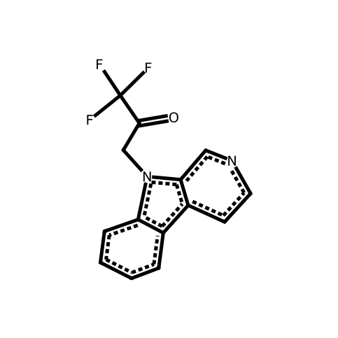 O=C(Cn1c2ccccc2c2ccncc21)C(F)(F)F